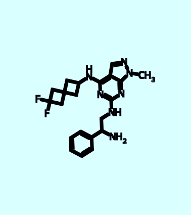 Cn1ncc2c(NC3CC4(C3)CC(F)(F)C4)nc(NCC(N)c3ccccc3)nc21